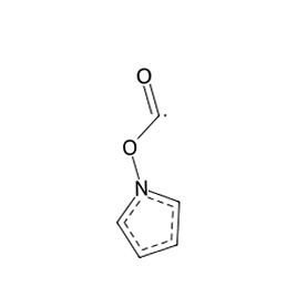 O=[C]On1cccc1